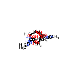 C/C1=C/C=C/[C@H](C)[C@H](O)[C@@H](C)[C@@H](O)[C@@H](C)[C@H](OC(=O)CC(=O)N2CCC3(CCN(C)CC3)C2)[C@H](C)C/C=C/O[C@@]2(C)Oc3c(C)c(O)c4c(c3C2=O)C2=NC3(CCN(CC(C)C)CC3)NC2=C(NC1=O)C4=O